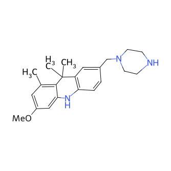 COc1cc(C)c2c(c1)Nc1ccc(CN3CCNCC3)cc1C2(C)C